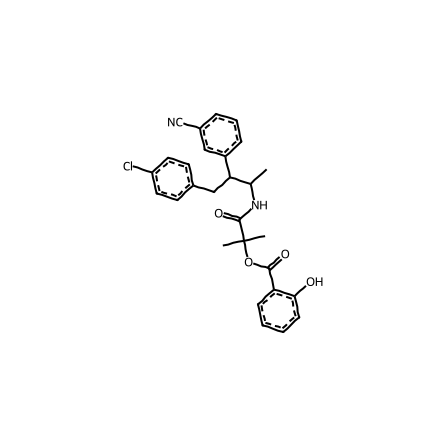 CC(NC(=O)C(C)(C)OC(=O)c1ccccc1O)C(Cc1ccc(Cl)cc1)c1cccc(C#N)c1